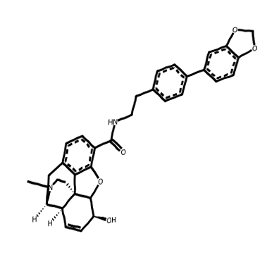 CN1CC[C@]23c4c5ccc(C(=O)NCCc6ccc(-c7ccc8c(c7)OCO8)cc6)c4OC2[C@@H](O)C=C[C@H]3[C@H]1C5